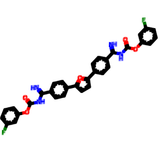 N=C(NC(=O)Oc1cccc(F)c1)c1ccc(-c2ccc(-c3ccc(C(=N)NC(=O)Oc4cccc(F)c4)cc3)o2)cc1